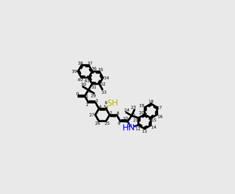 C=C(/C=C/C1=C(S)C(=C/C=C2/Nc3ccc4ccccc4c3C2(C)C)/CCC1)C(C)(C)c1c(C)ccc2ccccc12